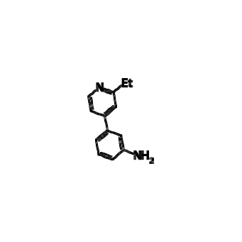 CCc1cc(-c2cccc(N)c2)ccn1